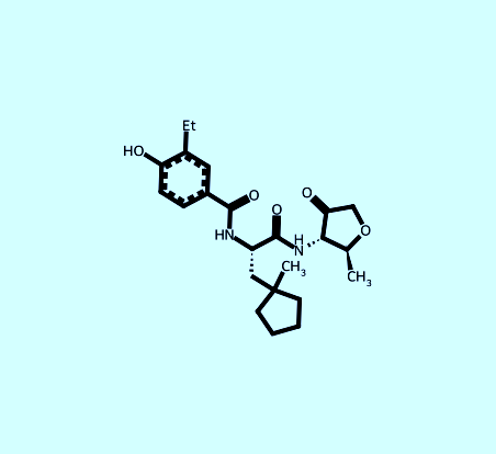 CCc1cc(C(=O)N[C@@H](CC2(C)CCCC2)C(=O)N[C@@H]2C(=O)CO[C@H]2C)ccc1O